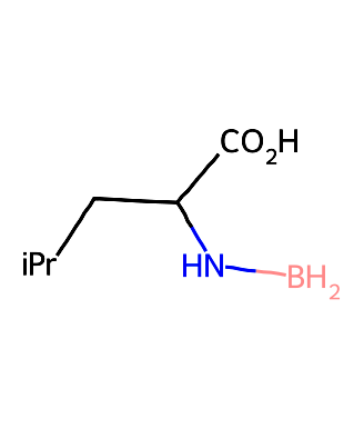 BNC(CC(C)C)C(=O)O